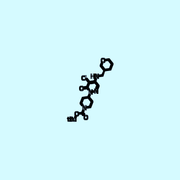 CC(C)(C)OC(=O)N1CCC(n2ncc(NC[C@@H]3CCCOC3)c(Cl)c2=O)CC1